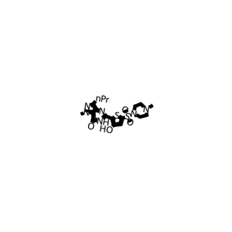 CCCc1nn(C)c2c(=O)[nH]c(-c3sc(S(=O)(=O)N4CCN(C)CC4)cc3O)nc12